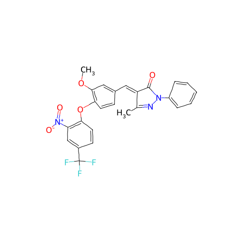 COc1cc(C=C2C(=O)N(c3ccccc3)N=C2C)ccc1Oc1ccc(C(F)(F)F)cc1[N+](=O)[O-]